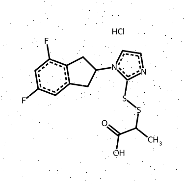 CC(SSc1nccn1C1Cc2cc(F)cc(F)c2C1)C(=O)O.Cl